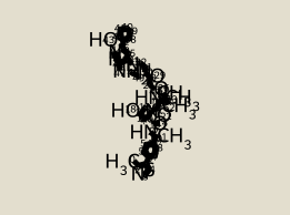 Cc1ncsc1-c1ccc([C@@H](C)NC(=O)[C@H]2C[C@H](O)CN2C(=O)[C@H](NC(=O)CC(=O)N2CCN(c3cc(-c4ccccc4O)nnc3N)CC2)C(C)(C)C)cc1